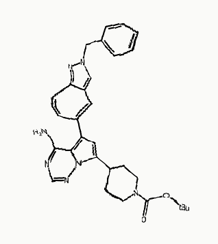 CC(C)(C)OC(=O)N1CCC(c2cc(-c3ccc4nn(Cc5ccccc5)cc4c3)c3c(N)ncnn23)CC1